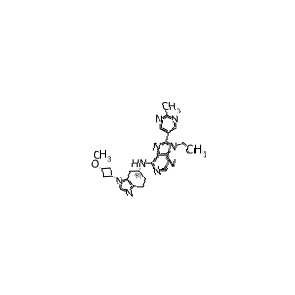 CCn1c(-c2cnc(C)nc2)nc2c(N[C@@H]3CCc4ncn([C@H]5C[C@@H](OC)C5)c4C3)ncnc21